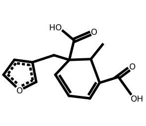 CC1C(C(=O)O)=CC=CC1(Cc1ccoc1)C(=O)O